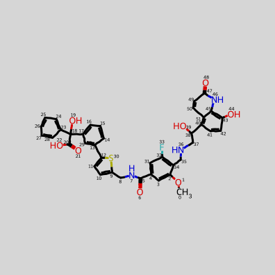 COc1cc(C(=O)NCc2ccc(-c3cccc(C(O)(C(=O)O)c4ccccc4)c3)s2)cc(F)c1CNCC(O)c1ccc(O)c2[nH]c(=O)ccc12